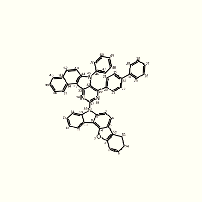 C1=Cc2oc3c(ccc4c3c3ccccc3n4-c3nc(-c4ccc(-c5ccccc5)cc4)c4c(n3)c3c5ccccc5ccc3n4-c3ccccc3)c2CC1